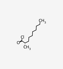 CCCCCCCC[C@H](C)C(=O)Cl